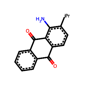 CC(C)c1ccc2c(c1N)C(=O)c1ccccc1C2=O